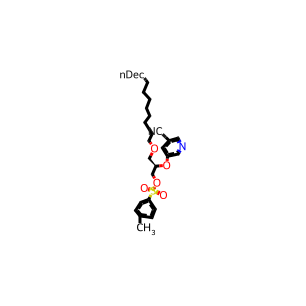 CCCCCCCCCCCCCCCCCCOC[C@H](COS(=O)(=O)c1ccc(C)cc1)Oc1cncc(C#N)c1